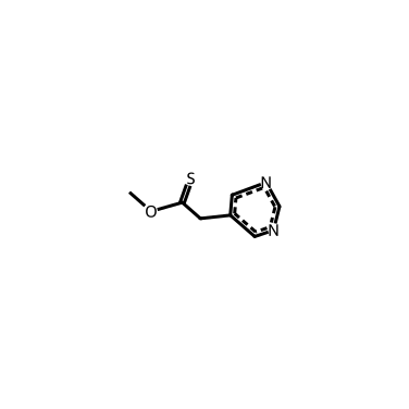 COC(=S)Cc1cncnc1